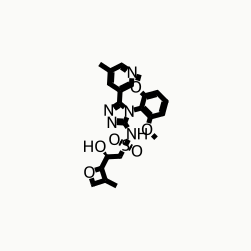 COc1cccc(OC)c1-n1c(NS(=O)(=O)C[C@H](O)C2OCC2C)nnc1-c1cncc(C)c1